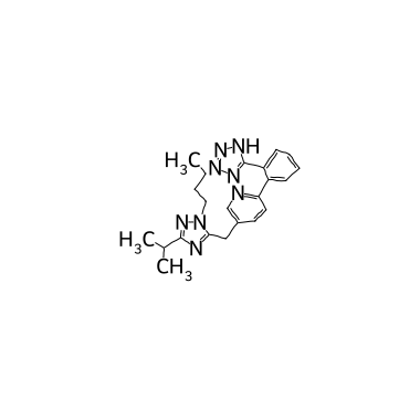 CCCCn1nc(C(C)C)nc1Cc1ccc(-c2ccccc2-c2nnn[nH]2)nc1